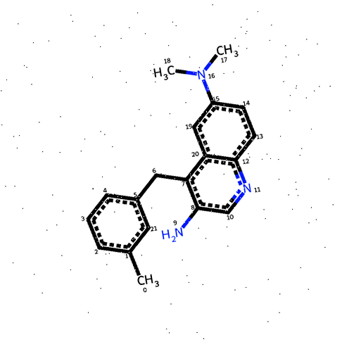 Cc1cccc(Cc2c(N)cnc3ccc(N(C)C)cc23)c1